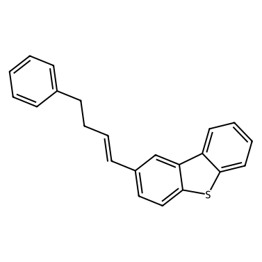 C(=Cc1ccc2sc3ccccc3c2c1)CCc1ccccc1